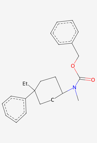 CCC1(c2ccccc2)CCC(N(C)C(=O)OCc2ccccc2)CC1